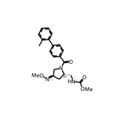 CO/N=C1/C[C@@H](CNC(=O)OC)N(C(=O)c2ccc(-c3ccccc3C)cc2)C1